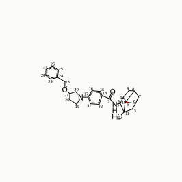 O=C(NC1C2CC3CC(C2)CC1(O)C3)c1ccc(N2CCC(OCc3ccccc3)C2)cc1